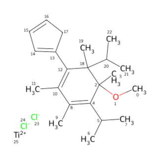 COC1(C)C(C(C)C)=C(C)C(C)=C(C2=CC=CC2)C1(C)C(C)C.[Cl-].[Cl-].[Ti+2]